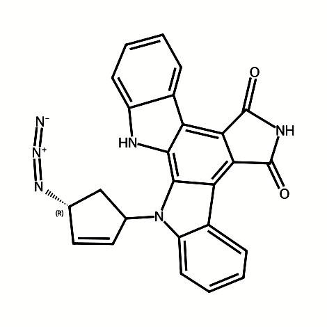 [N-]=[N+]=N[C@H]1C=CC(n2c3ccccc3c3c4c(c5c6ccccc6[nH]c5c32)C(=O)NC4=O)C1